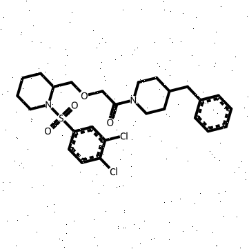 O=C(COCC1CCCCN1S(=O)(=O)c1ccc(Cl)c(Cl)c1)N1CCC(Cc2ccccc2)CC1